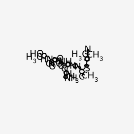 CC1(C)CCC(CN2CCN(c3ccc(C(=O)NS(=O)(=O)c4ccc(NC[C@H]5CC[C@](C)(O)CC5)c([N+](=O)[O-])c4)c(Oc4cnc5[nH]ccc5c4)c3)CC2)=C(c2cc(-c3ccc(C(C)(C)C#N)cc3)cs2)C1